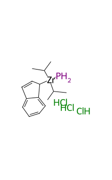 C[CH](C)[Zr]([PH2])([CH](C)C)[CH]1C=Cc2ccccc21.Cl.Cl.Cl